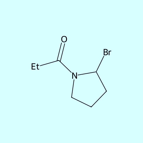 CCC(=O)N1CCCC1Br